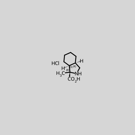 C[C@@]1(C(=O)O)NC[C@@H]2CCCC[C@@H]21.Cl